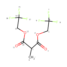 [CH2]C(C(=O)OCC(F)(F)F)C(=O)OCC(F)(F)F